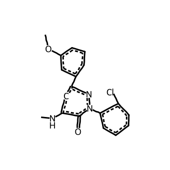 CNc1cc(-c2cccc(OC)c2)nn(-c2ccccc2Cl)c1=O